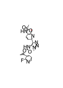 Cc1nc(-c2nnn(C)c2NC(=O)O[C@H](C)c2cccnc2F)ccc1NS(C)(=O)=O